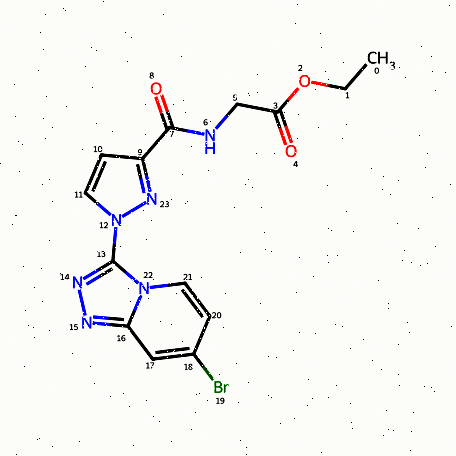 CCOC(=O)CNC(=O)c1ccn(-c2nnc3cc(Br)ccn23)n1